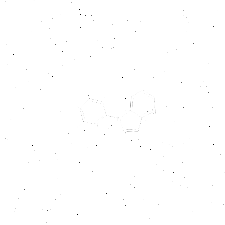 Clc1nccc(-n2ncc3ncccc32)n1